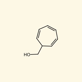 OCC1C=CC=CC=C1